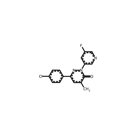 Cc1cc(-c2ccc(Cl)cc2)nn(-c2cncc(F)c2)c1=O